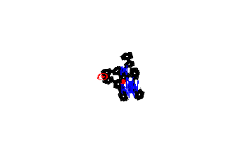 c1ccc(-c2cccc(-n3c4ccccc4c4cc(-c5cccc6oc7ccc(-c8ccc9c(c8)c8ccccc8n9-c8nc(-c9ccccc9)nc(-c9ccccc9)n8)cc7c56)ccc43)c2)cc1